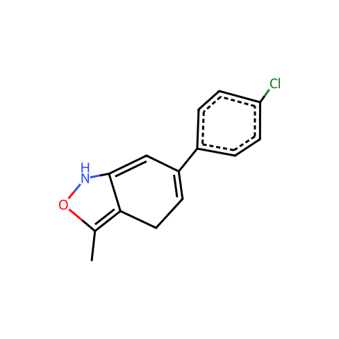 CC1=C2CC=C(c3ccc(Cl)cc3)C=C2NO1